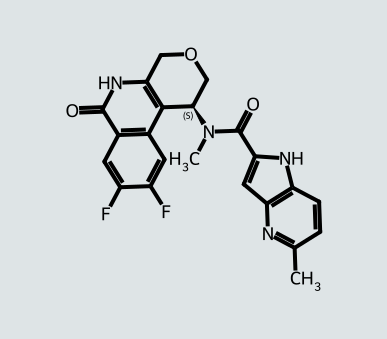 Cc1ccc2[nH]c(C(=O)N(C)[C@@H]3COCc4[nH]c(=O)c5cc(F)c(F)cc5c43)cc2n1